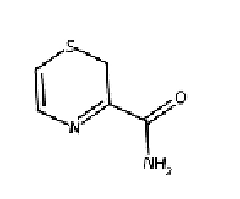 NC(=O)C1=NC=CSC1